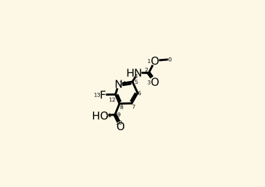 COC(=O)Nc1ccc(C(=O)O)c(F)n1